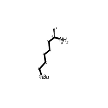 CCCCCCCCC[C@@H](C)N